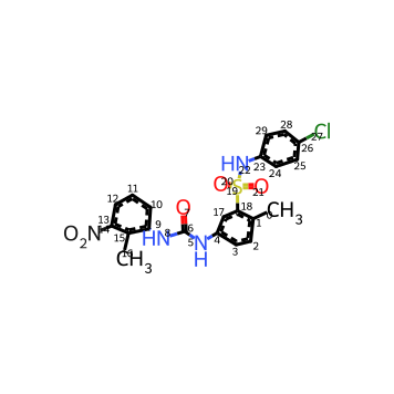 Cc1ccc(NC(=O)Nc2cccc([N+](=O)[O-])c2C)cc1S(=O)(=O)Nc1ccc(Cl)cc1